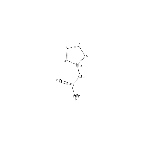 CCCC(=O)ON1CCCC1